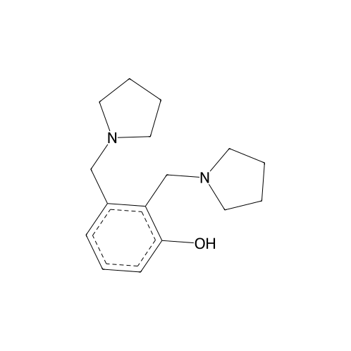 Oc1cccc(CN2CCCC2)c1CN1CCCC1